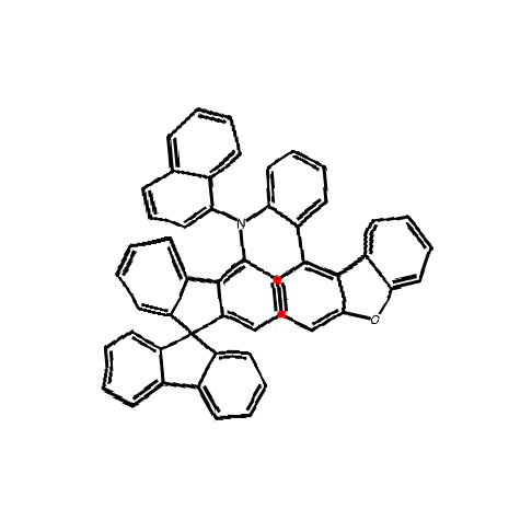 c1ccc(N(c2cccc3c2-c2ccccc2C32c3ccccc3-c3ccccc32)c2cccc3ccccc23)c(-c2cccc3oc4ccccc4c23)c1